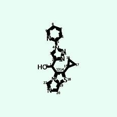 OC(c1cn(-c2ccccn2)nn1)c1c(C2CC2)sc2cncn12